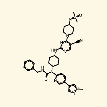 Cn1cc(-c2ccc(N(C(=O)NCc3ccccc3)[C@H]3CC[C@H](Nc4ncc(C#N)c(N5CCC(N=S(C)(C)=O)CC5)n4)CC3)nc2)cn1